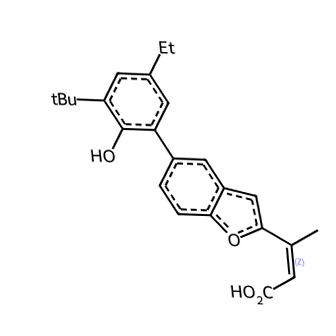 CCc1cc(-c2ccc3oc(/C(C)=C\C(=O)O)cc3c2)c(O)c(C(C)(C)C)c1